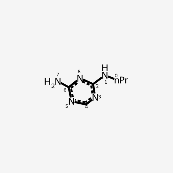 CCCNc1ncnc(N)n1